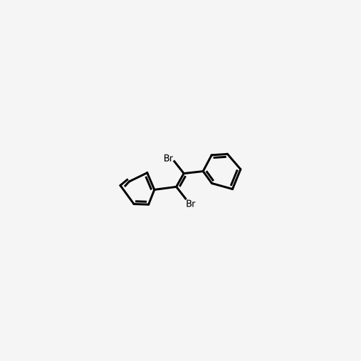 Br/C(=C(/Br)c1ccccc1)c1ccccc1